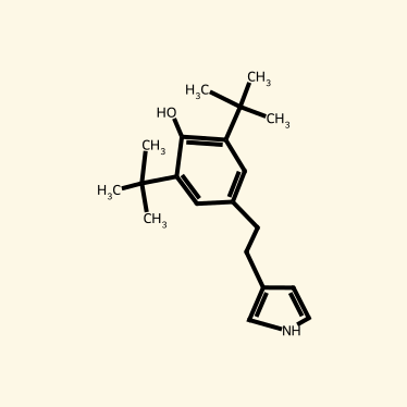 CC(C)(C)c1cc(CCc2cc[nH]c2)cc(C(C)(C)C)c1O